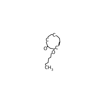 CCCCCCOC1CC=CCCCCCCCC(=O)C1